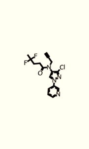 C#CCN(C(=O)CCC(C)(F)F)c1cn(-c2cccnc2)nc1Cl